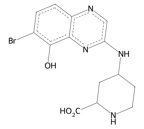 O=C(O)C1CC(Nc2cnc3ccc(Br)c(O)c3n2)CCN1